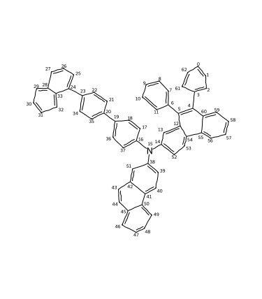 c1ccc(-c2c(-c3ccccc3)c3cc(N(c4ccc(-c5ccc(-c6cccc7ccccc67)cc5)cc4)c4ccc5c(ccc6ccccc65)c4)ccc3c3ccccc23)cc1